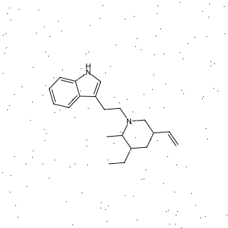 C=CC1CC(CC)C(C)N(CCc2c[nH]c3ccccc23)C1